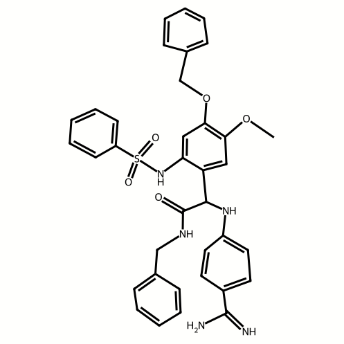 COc1cc(C(Nc2ccc(C(=N)N)cc2)C(=O)NCc2ccccc2)c(NS(=O)(=O)c2ccccc2)cc1OCc1ccccc1